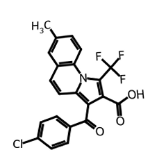 Cc1ccc2c(ccc3c(C(=O)c4ccc(Cl)cc4)c(C(=O)O)c(C(F)(F)F)n32)c1